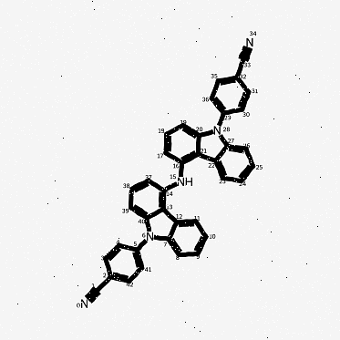 N#Cc1ccc(-n2c3ccccc3c3c(Nc4cccc5c4c4ccccc4n5-c4ccc(C#N)cc4)cccc32)cc1